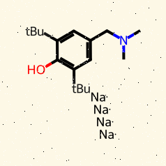 CN(C)Cc1cc(C(C)(C)C)c(O)c(C(C)(C)C)c1.[Na].[Na].[Na].[Na]